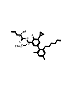 C=CCCCCc1cc(C)cc(C)c1-c1cc(C2CC2)c(F)c([C@H](CC(=O)OCC)NC(=O)[C@H](O)CC=C)c1